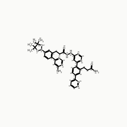 CC1(C)OB(c2ccc(-c3cc(N)ncn3)c(CCC(=O)NNc3cc(-c4ccc(-c5cccnn5)cc4CCC(N)=O)ncn3)c2)OC1(C)C